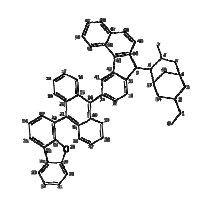 CCC1CC2CC(C)C(C3c4ccc(-c5c6ccccc6c(-c6cccc7c6oc6ccccc67)c6ccccc56)cc4-c4c3ccc3ccccc43)C(C1)C2